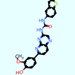 COc1cc(-c2ccc3ncc(NC(=O)Nc4ccc5sccc5c4)nc3n2)ccc1O